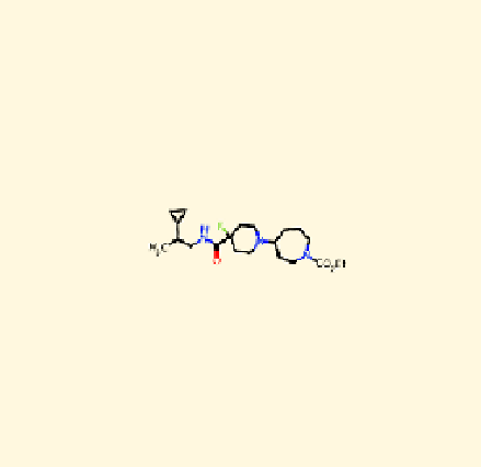 CCOC(=O)N1CCCC(N2CCC(F)(C(=O)NCC(C)C3CC3)CC2)CC1